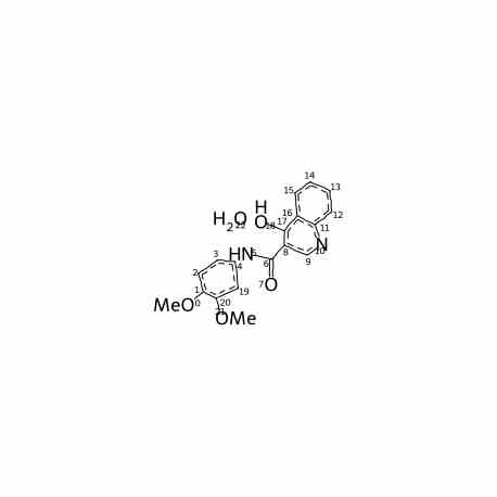 COc1ccc(NC(=O)c2cnc3ccccc3c2O)cc1OC.O